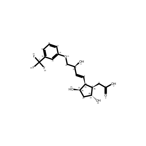 O=C(O)C[C@@H]1[C@H](C=C[C@H](O)COc2cccc(C(F)(F)F)c2)[C@H](O)C[C@H]1O